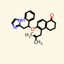 C=C(C)Cc1c(OC(Cc2ncc[nH]2)c2ccccc2)ccc2c1CCCC2=O